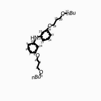 CCCCOCCCOc1cccc(Nc2cccc(OCCCOCCCC)c2)c1